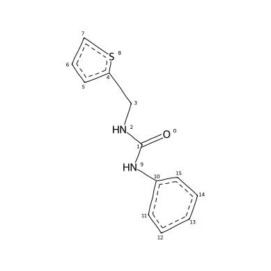 O=C(NCc1cccs1)Nc1ccccc1